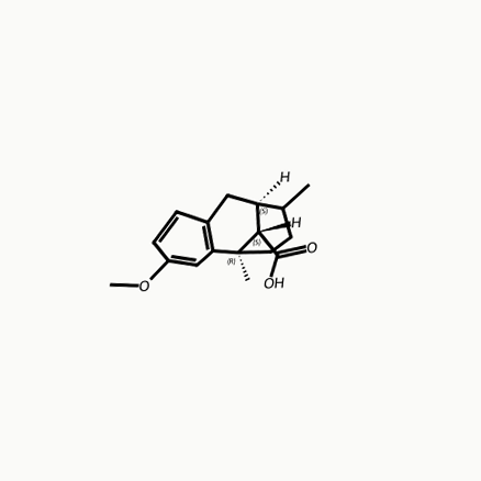 COc1ccc2c(c1)[C@]1(C)CCC(C)[C@H](C2)[C@@H]1C(=O)O